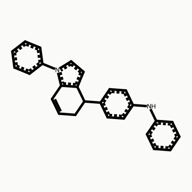 C1=Cc2c(ccn2-c2ccccc2)C(c2ccc(Nc3ccccc3)cc2)C1